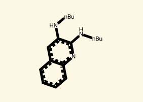 CCCCNc1cc2ccccc2nc1NCCCC